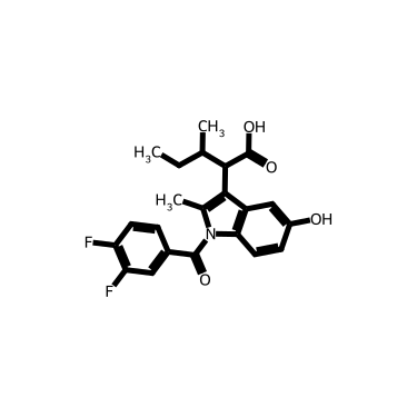 CCC(C)C(C(=O)O)c1c(C)n(C(=O)c2ccc(F)c(F)c2)c2ccc(O)cc12